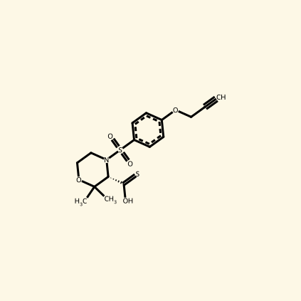 C#CCOc1ccc(S(=O)(=O)N2CCOC(C)(C)[C@H]2C(O)=S)cc1